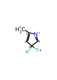 CC1=CC(F)(F)C=N1